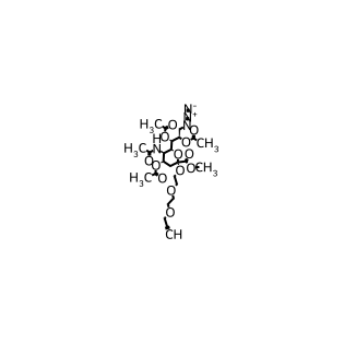 C#CCOCCOCCO[C@]1(C(=O)OC)C[C@H](OC(C)=O)[C@@H](NC(C)=O)[C@H]([C@H](OC(C)=O)[C@@H](CN=[N+]=[N-])OC(C)=O)O1